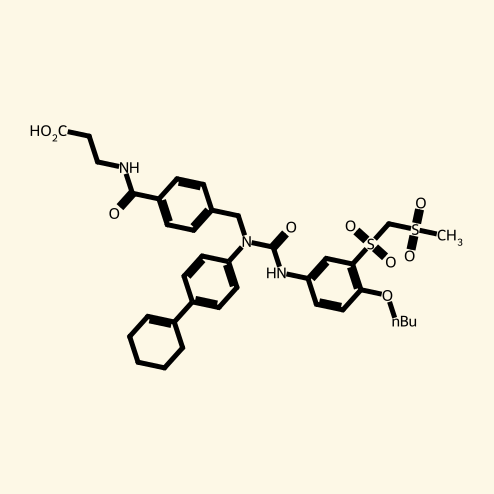 CCCCOc1ccc(NC(=O)N(Cc2ccc(C(=O)NCCC(=O)O)cc2)c2ccc(C3=CCCCC3)cc2)cc1S(=O)(=O)CS(C)(=O)=O